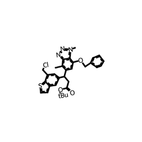 Cc1c(C(CC(=O)OC(C)(C)C)c2cc(CCl)c3sccc3c2)cc(OCc2ccccc2)c2c1nnn2C